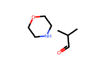 C1COCCN1.CC(C)C=O